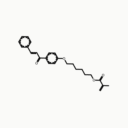 C=C(C)C(=O)OCCCCCCOc1ccc(C(=O)/C=C/c2ccccc2)cc1